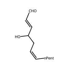 CCCCC/C=C\CC(O)/C=C/C=O